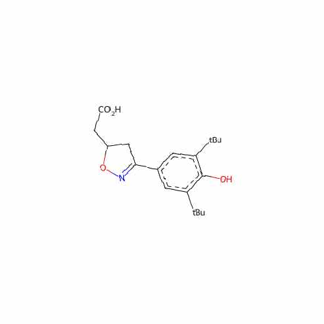 CC(C)(C)c1cc(C2=NOC(CC(=O)O)C2)cc(C(C)(C)C)c1O